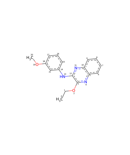 CCOc1nc2ccccc2nc1Nc1cccc(OC)c1